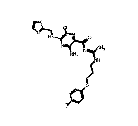 N/C(=N\C(=O)c1nc(Cl)c(NCc2nccs2)nc1N)NCCCOc1ccc(Cl)cc1